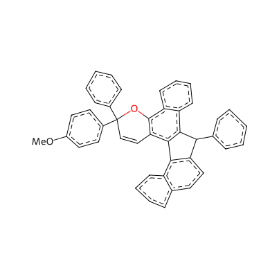 COc1ccc(C2(c3ccccc3)C=Cc3c4c(c5ccccc5c3O2)C(c2ccccc2)c2ccc3ccccc3c2-4)cc1